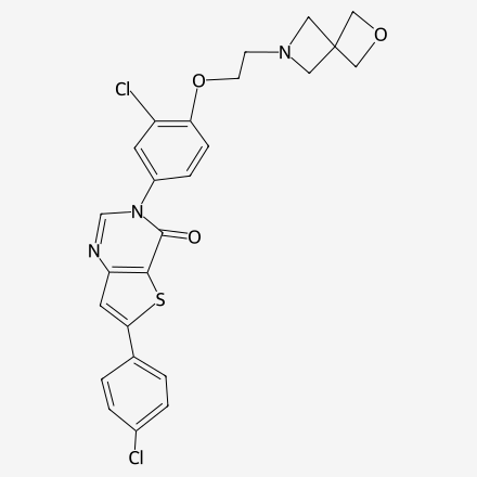 O=c1c2sc(-c3ccc(Cl)cc3)cc2ncn1-c1ccc(OCCN2CC3(COC3)C2)c(Cl)c1